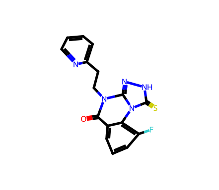 O=c1c2cccc(F)c2n2c(=S)[nH]nc2n1CCc1ccccn1